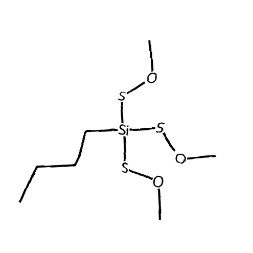 CCCC[Si](SOC)(SOC)SOC